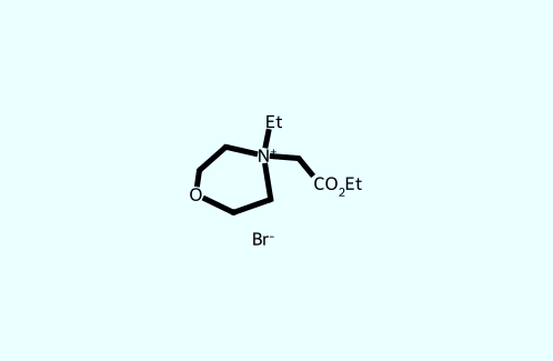 CCOC(=O)C[N+]1(CC)CCOCC1.[Br-]